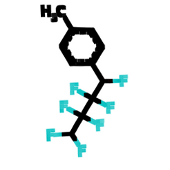 Cc1ccc(C(F)C(F)(F)C(F)(F)C(F)F)cc1